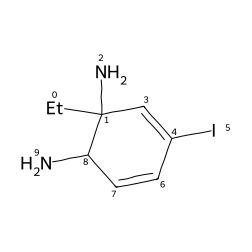 CCC1(N)C=C(I)C=CC1N